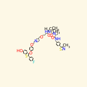 Cc1ncsc1-c1ccc(CNC(=O)[C@@H]2CCCN2C(=O)C(NC(=O)CCCOCC2CCN(CCOc3ccc(Oc4c(-c5ccc(F)cc5)sc5cc(O)ccc45)cc3)C2)C(C)(C)C)cc1